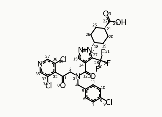 O=C(CN(Cc1ccc(Cl)cc1)C(=O)c1cnn([C@H]2CC[C@H](C(=O)O)CC2)c1C(F)(F)F)c1c(Cl)cncc1Cl